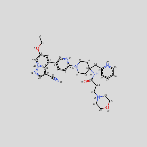 CCOc1cc(-c2ccc(N3CCC(Cc4ccccn4)(NC(=O)CCN4CCOCC4)CC3)nc2)c2c(C#N)cnn2c1